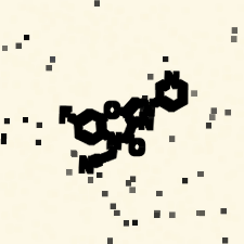 N#CCN1C(=O)c2nn(-c3cccnc3)cc2Oc2cc(F)ccc21